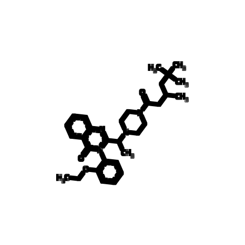 CCOc1ccccc1-n1c(C(C)N2CCN(C(=O)CC(C)CC(C)(C)C)CC2)nc2ccccc2c1=O